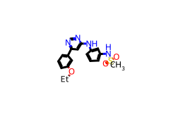 CCOc1cccc(-c2cc(Nc3cccc(NS(C)(=O)=O)c3)ncn2)c1